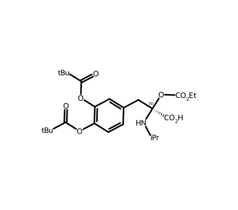 CCOC(=O)O[C@](Cc1ccc(OC(=O)C(C)(C)C)c(OC(=O)C(C)(C)C)c1)(NC(C)C)C(=O)O